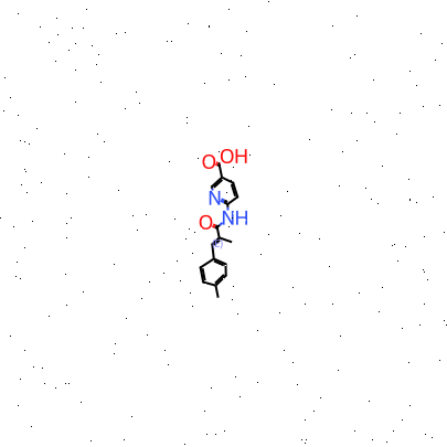 C/C(=C\c1ccc(C)cc1)C(=O)Nc1ccc(C(=O)O)cn1